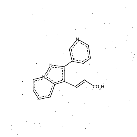 O=C(O)C=Cc1c(-c2cccnc2)nn2ccccc12